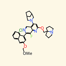 COCOc1cc(-c2ncc3c(N4CC5CCC(C5)C4)cc(OCC45CCCN4CCC5)nc3c2F)c2c(Cl)cccc2c1